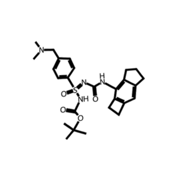 CN(C)Cc1ccc(S(=O)(=NC(=O)Nc2c3c(cc4c2CC4)CCC3)NC(=O)OC(C)(C)C)cc1